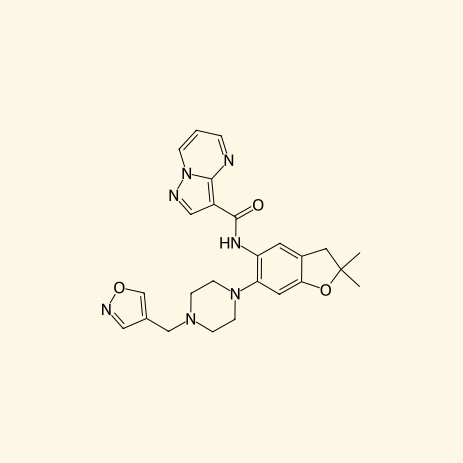 CC1(C)Cc2cc(NC(=O)c3cnn4cccnc34)c(N3CCN(Cc4cnoc4)CC3)cc2O1